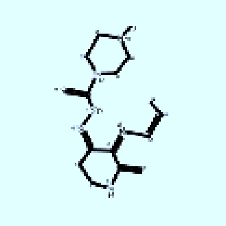 C=C1NCCC(=N/NC(=S)N2CCN(C)CC2)/C1=N/C=C\C